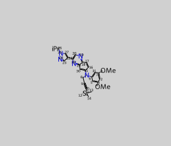 COc1cc(OC)cc(N(CC#C[Si](C)(C)C)c2ccc3ncc(-c4cnn(C(C)C)c4)nc3c2)c1